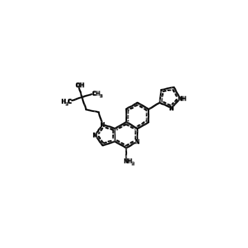 CC(C)(O)CCn1ncc2c(N)nc3cc(-c4cc[nH]n4)ccc3c21